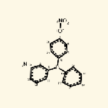 O=[N+]([O-])[O-].[Ni].c1ccc(P(c2ccccc2)c2ccccc2)cc1